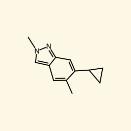 Cc1cc2cn(C)nc2cc1C1CC1